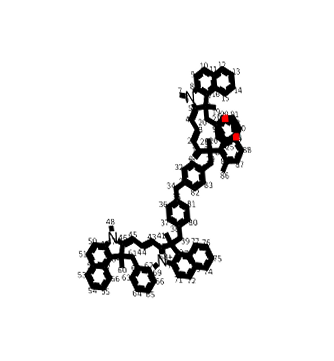 C=C(/C=C/C=C1/N(C)c2ccc3ccccc3c2C1(C)Cc1ccccc1)C(C)(Cc1ccc(Cc2ccc(CC3(C)C(/C=C/C=C4/N(C)c5ccc6ccccc6c5C4(C)Cc4ccccc4)=[N+](C)c4ccc5ccccc5c43)cc2)cc1)c1c(C)ccc2ccccc12